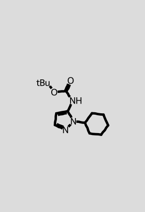 CC(C)(C)OC(=O)Nc1ccnn1C1CCCCC1